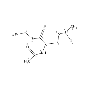 CC(=O)NC(CS[S+](C)[O-])C(=O)SCF